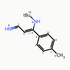 Cc1ccc(/C(=C/C=N)NC(C)(C)C)cc1